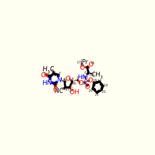 Cc1cn([C@@H]2O[C@H](CO[P@](=O)(N[C@H](C)C(=O)OC(C)C)Oc3ccccc3)[C@@H](O)[C@H]2C#N)c(=O)[nH]c1=O